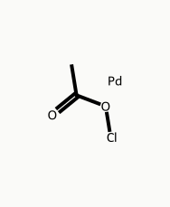 CC(=O)OCl.[Pd]